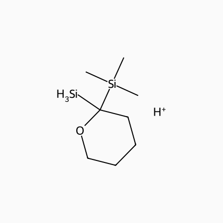 C[Si](C)(C)C1([SiH3])CCCCO1.[H+]